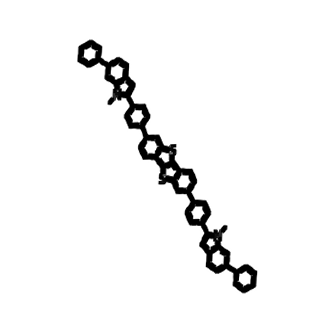 Cn1c(-c2ccc(-c3ccc4c(c3)sc3c5ccc(-c6ccc(-c7cc8ccc(-c9ccccc9)cc8n7C)cc6)cc5sc43)cc2)cc2ccc(-c3ccccc3)cc21